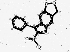 O=[N+]([O-])c1oc2cc3c(cc2c1-c1ccccc1)OOC3